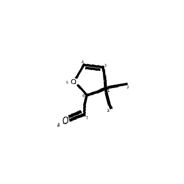 CC1(C)C=COC1C=O